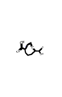 O=C(O)/C1=C/CCC(C(=O)O)CCC1